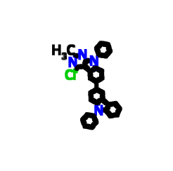 Cc1nc(Cl)c2c3cc(-c4ccc5c(c4)c4ccccc4n5-c4ccccc4)ccc3n(-c3ccccc3)c2n1